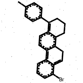 Cc1ccc(C2=c3ccc4c(c3CCC2)CC=c2c(Br)cccc2=4)cc1